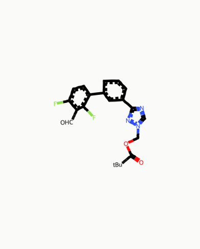 CC(C)(C)C(=O)OCn1cnc(-c2cccc(-c3ccc(F)c(C=O)c3F)c2)n1